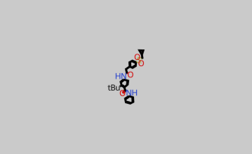 CC(C)(C)c1cc(NC(=O)Cc2ccc(S(=O)(=O)CC3CC3)cc2)ccc1C(=O)Nc1ccccc1